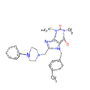 Cc1ccc(Cn2c(CN3CCN(c4ccccc4)CC3)nc3c2c(=O)n(C)c(=O)n3C)cc1